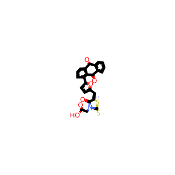 O=C(O)CN1C(=O)/C(=C\c2ccc(-c3cccc4c3C(=O)c3ccccc3C4=O)o2)SC1=S